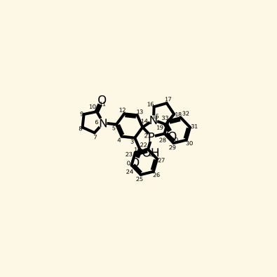 O=C(O)C1C=C(N2CCCC2=O)C=CC1(N1CCCC1=O)P(c1ccccc1)c1ccccc1